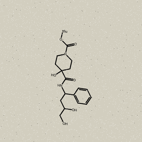 CC(C)(C)OC(=O)N1CCC(O)(C(=O)NC(CC(O)CO)c2ccccc2)CC1